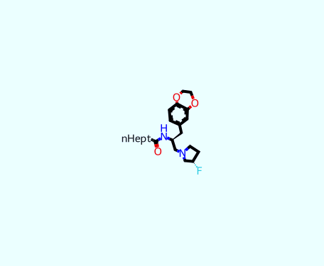 CCCCCCCC(=O)N[C@@H](Cc1ccc2c(c1)OCCO2)CN1CC[C@H](F)C1